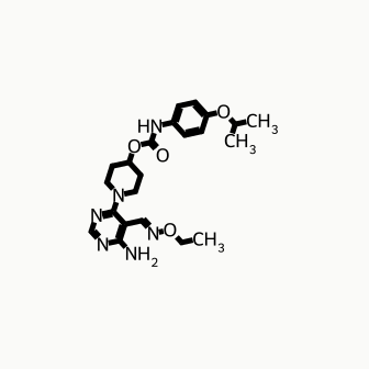 CCON=Cc1c(N)ncnc1N1CCC(OC(=O)Nc2ccc(OC(C)C)cc2)CC1